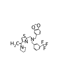 C=C(c1csc(CN(Cc2cccc(C(F)(F)F)c2)Cc2ccc3c(c2)OCO3)n1)N1CCCC1